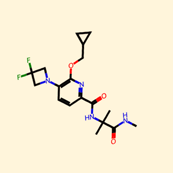 CNC(=O)C(C)(C)NC(=O)c1ccc(N2CC(F)(F)C2)c(OCC2CC2)n1